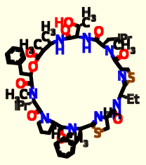 CC[C@H]1NC(=O)[C@@H]2CSC(=N2)C(Cc2ccccc2)N(C)C(=O)[C@@H]2CCCN2C(=O)[C@H](C(C)C)N(C)C(=O)C(Cc2ccccc2)OC(=O)[C@H](C)[C@@H](C)NC(=O)[C@@H]([C@@H](C)O)NC(=O)[C@@H](CC(C)C)N(C)C(=O)C2CSC1=N2